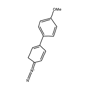 COc1ccc(C2=CCC(=[N+]=[N-])C=C2)cc1